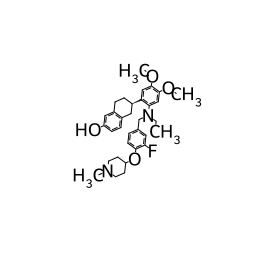 CCN(Cc1ccc(OC2CCN(C)CC2)c(F)c1)c1cc(OC)c(OC)cc1[C@@H]1CCc2cc(O)ccc2C1